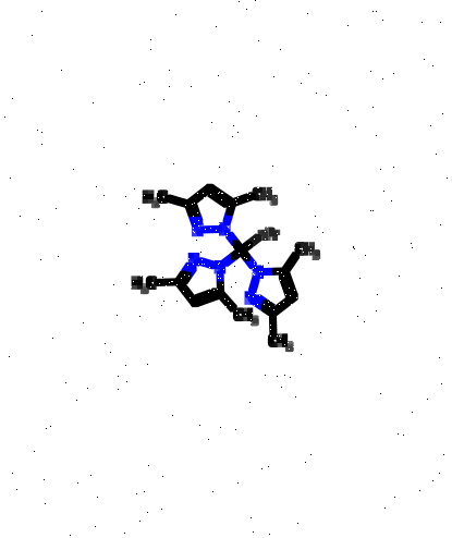 CCCC(n1nc(C)cc1C)(n1nc(C)cc1C)n1nc(C)cc1C